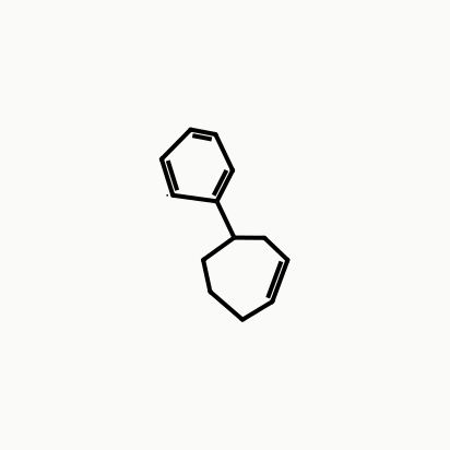 [c]1ccccc1C1CC=CCCC1